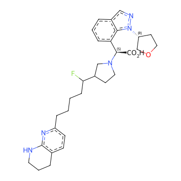 O=C(O)[C@H](c1cccc2cnn([C@@H]3CCOC3)c12)N1CCC(C(F)CCCCc2ccc3c(n2)NCCC3)C1